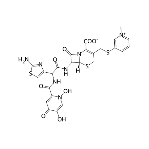 C[n+]1cccc(SCC2=C(C(=O)[O-])N3C(=O)[C@@H](NC(=O)C(NC(=O)c4cc(=O)c(O)cn4O)c4csc(N)n4)[C@H]3SC2)c1